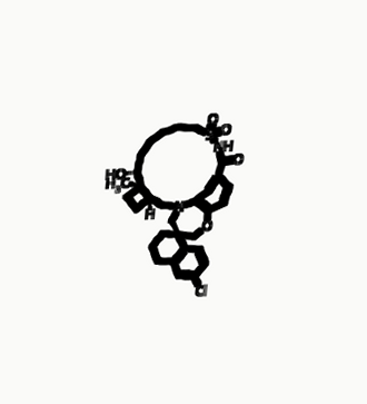 C[C@]12CC[C@@H]1CN1C[C@@]3(CCCc4cc(Cl)ccc43)COc3ccc(cc31)C(=O)NS(=O)(=O)CCCCC[C@H]2O